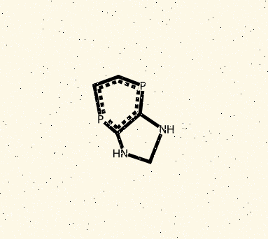 c1cpc2c(p1)NCN2